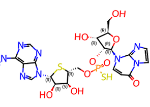 Nc1ncnc2c1ncn2[C@@H]1S[C@H](COP(=O)(S)O[C@@H]2[C@H](O)[C@@H](CO)O[C@H]2n2ccc(=O)n3ccnc23)[C@@H](O)[C@H]1O